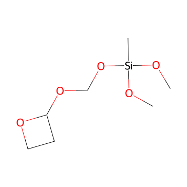 CO[Si](C)(OC)OCOC1CCO1